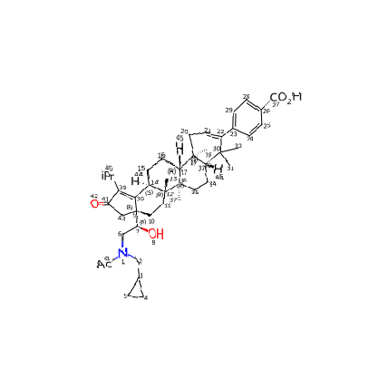 CC(=O)N(CC1CC1)C[C@H](O)[C@@]12CC[C@]3(C)[C@H](CC[C@@H]4[C@@]5(C)CC=C(c6ccc(C(=O)O)cc6)C(C)(C)[C@@H]5CC[C@]43C)C1=C(C(C)C)C(=O)C2